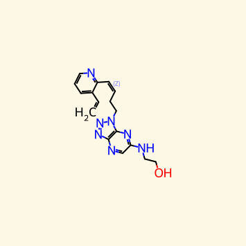 C=Cc1cccnc1/C=C\CCn1nnc2ncc(NCCO)nc21